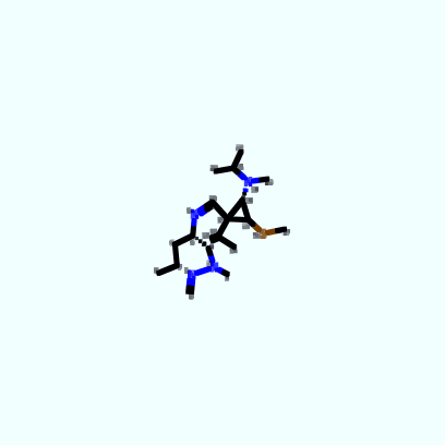 C=NN(C)C[C@H](CCC)/N=C\C1(C(=C)C)C(SC)[C@H]1N(C)C(C)C